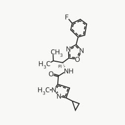 CC(C)[C@@H](NC(=O)c1cc(C2CC2)nn1C)c1nc(-c2cccc(F)c2)no1